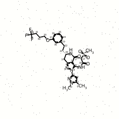 Cc1cc(-n2nc3c(c2NC(=O)CS(C)(=O)=O)C(=O)N[C@@H](CCc2cccc(OCCCC(F)(F)F)c2)C3)nn1C